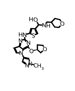 Cn1cc(-n2ccc3nc(Nc4cc(C(O)NCC5CCOCC5)cs4)nc(O[C@H]4CCOC4)c32)cn1